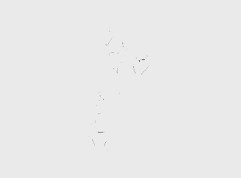 CN(CC1CCN(CCOc2ccccc2)CC1)[C@H](c1ccc(Cl)cc1)c1ccccn1